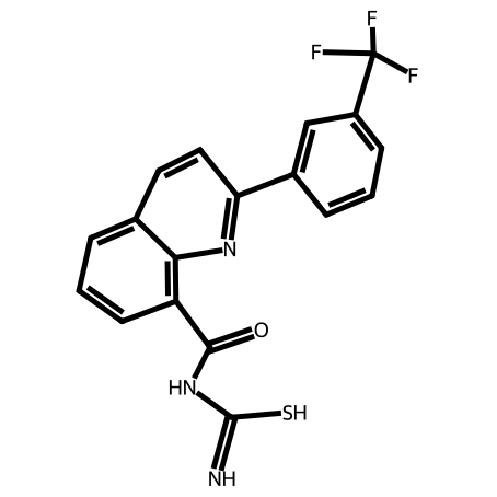 N=C(S)NC(=O)c1cccc2ccc(-c3cccc(C(F)(F)F)c3)nc12